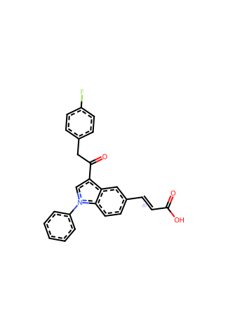 O=C(O)/C=C/c1ccc2c(c1)c(C(=O)Cc1ccc(F)cc1)cn2-c1ccccc1